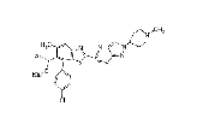 CC(=O)[C@@H](OC(C)(C)C)c1c(C)cc2nc(-c3ccc4nn(C5CCN(C)CC5)cc4n3)sc2c1-c1ccc(Cl)cc1